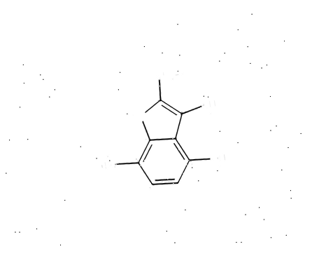 CCOC(=O)c1oc2c(C(C)(C)C)ccc(O)c2c1C